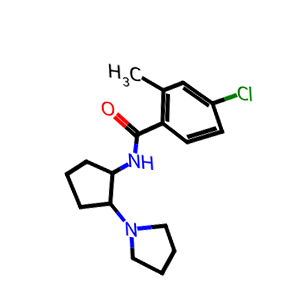 Cc1cc(Cl)ccc1C(=O)NC1CCCC1N1CCCC1